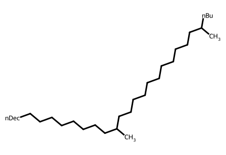 CCCCCCCCCCCCCCCCCCC(C)CCCCCCCCCCCC(C)CCCC